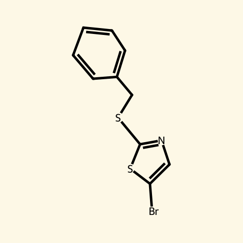 Brc1cnc(SCc2ccccc2)s1